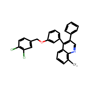 FC(F)(F)c1cccc2c(-c3cccc(OCc4ccc(Cl)c(Cl)c4)c3)c(-c3ccccc3)cnc12